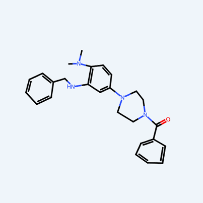 CN(C)c1ccc(N2CCN(C(=O)c3ccccc3)CC2)cc1NCc1ccccc1